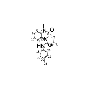 CCC[C@H]1C(=O)Nc2ccccc2N1C(=O)Nc1ccc(C)cc1